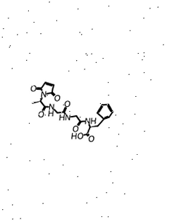 C[C@H](C(=O)NCC(=O)NCC(=O)N[C@@H](Cc1ccccc1)C(=O)O)N1C(=O)C=CC1=O